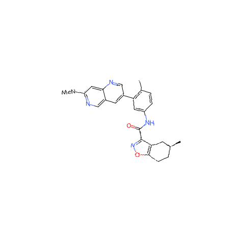 CNc1cc2ncc(-c3cc(NC(=O)c4noc5c4C[C@@H](C)CC5)ccc3C)cc2cn1